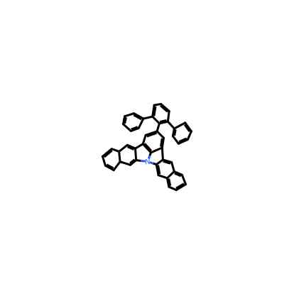 C1=CC2C=c3c(n4c5cc6ccccc6cc5c5cc(-c6c(-c7ccccc7)cccc6-c6ccccc6)cc3c54)=CC2C=C1